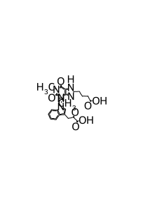 Cn1c(=O)c2[nH]c(CCCC(=O)O)nc2n(C)c1=O.O=C(O)C(=O)Cc1c[nH]c2ccccc12